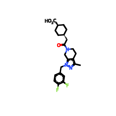 Cc1nn(Cc2ccc(F)c(F)c2)c2c1CCN(C(=O)C[C@H]1CC[C@H](C(=O)O)CC1)C2